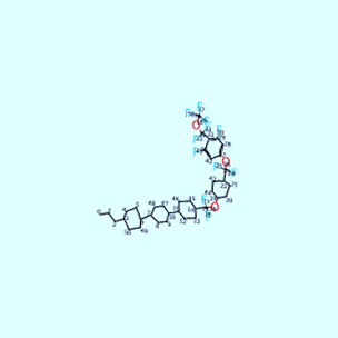 CCCC1CCC(C2CCC(C3CCC(C(F)(F)OC4CCC(C(F)(F)Oc5cc(F)c(C(F)(F)OC(F)(F)F)c(F)c5)CC4)CC3)CC2)CC1